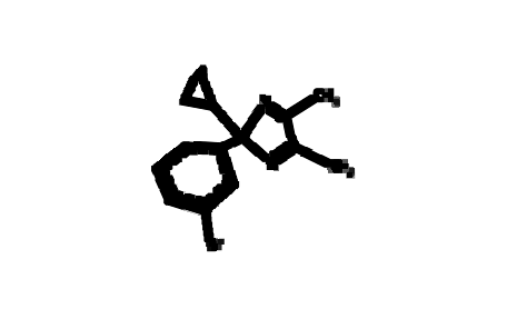 CC1=NC(c2cccc(Br)c2)(C2CC2)N=C1N